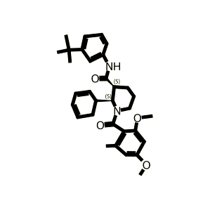 COc1cc(C)c(C(=O)N2CCC[C@H](C(=O)Nc3cccc(C(C)(C)C)c3)[C@@H]2C2C=CC=CC2)c(OC)c1